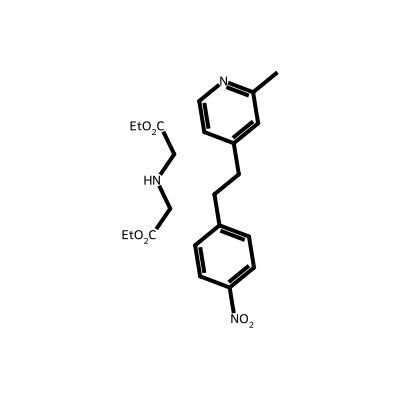 CCOC(=O)CNCC(=O)OCC.Cc1cc(CCc2ccc([N+](=O)[O-])cc2)ccn1